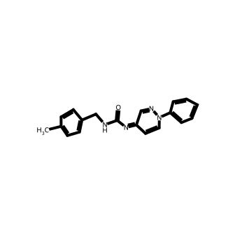 Cc1ccc(CNC(=O)N=c2ccn(-c3ccccc3)nc2)cc1